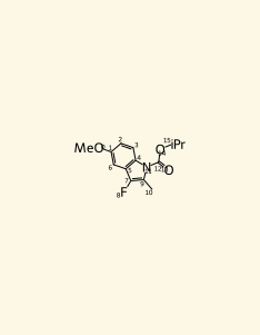 COc1ccc2c(c1)c(F)c(C)n2C(=O)OC(C)C